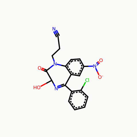 N#CCCN1C(=O)C(O)N=C(c2ccccc2Cl)c2cc([N+](=O)[O-])ccc21